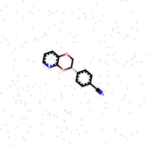 N#Cc1ccc([C@H]2COc3cccnc3O2)cc1